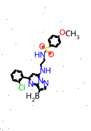 Bc1cnn2c(NCCNS(=O)(=O)c3ccc(OC)cc3)cc(-c3ccccc3Cl)nc12